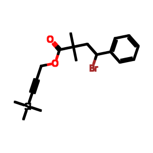 CC(C)(CC(Br)c1ccccc1)C(=O)OCC#C[Si](C)(C)C